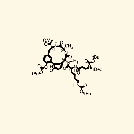 CCCCCCCCCCN(CCC(=O)N[C@@H](CCCCNC(=O)OC(C)(C)C)C(=O)N(C)[C@@H]1C(=O)N[C@@H](C)C(=O)N[C@H](C(=O)OC)Cc2ccc(OC(=O)OC(C)(C)C)c(c2)-c2cc1ccc2O)C(=O)OC(C)(C)C